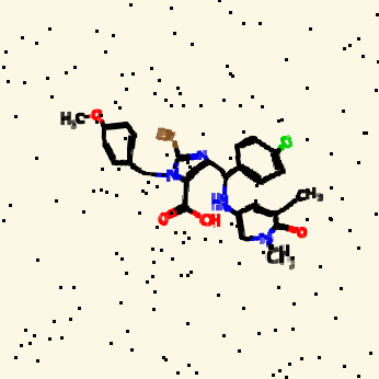 COc1ccc(Cn2c(Br)nc(C(Nc3cc(C)c(=O)n(C)c3)c3ccc(Cl)cc3)c2C(=O)O)cc1